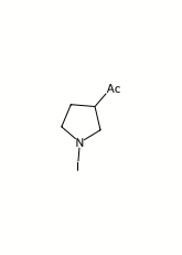 CC(=O)C1CCN(I)C1